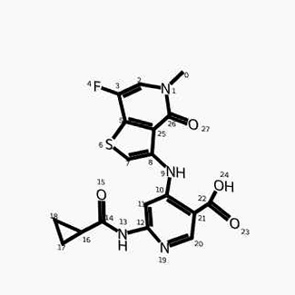 Cn1cc(F)c2scc(Nc3cc(NC(=O)C4CC4)ncc3C(=O)O)c2c1=O